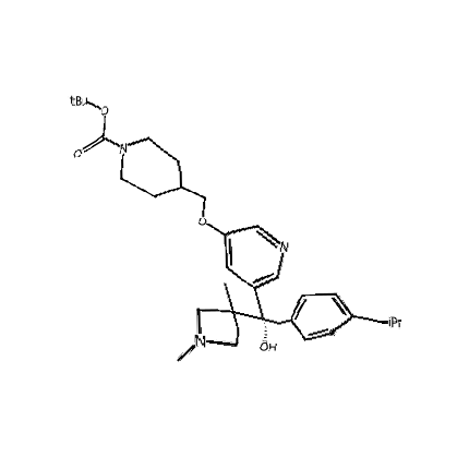 CC(C)c1ccc([C@](O)(c2cncc(OCC3CCN(C(=O)OC(C)(C)C)CC3)c2)C2(C)CN(C)C2)cc1